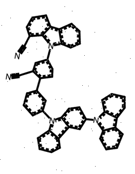 N#Cc1cc(-n2c3ccccc3c3cccc(C#N)c32)ccc1-c1cccc(-n2c3ccccc3c3cc(-n4c5ccccc5c5ccccc54)ccc32)c1